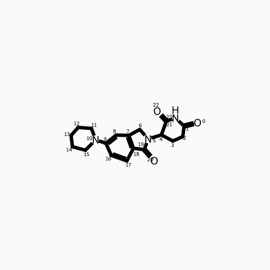 O=C1CCC(N2Cc3cc(N4CCCCC4)ccc3C2=O)C(=O)N1